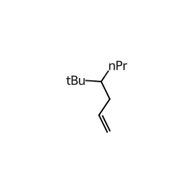 C=CCC(CCC)C(C)(C)C